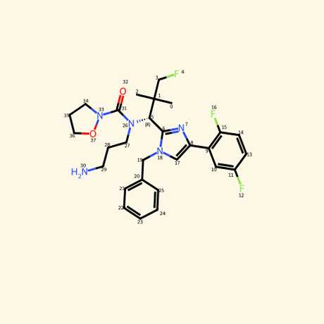 CC(C)(CF)[C@H](c1nc(-c2cc(F)ccc2F)cn1Cc1ccccc1)N(CCCN)C(=O)N1CCCO1